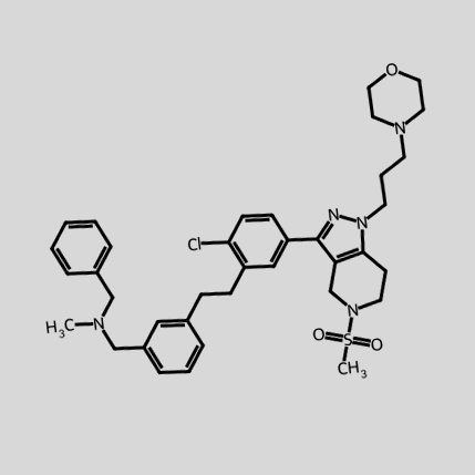 CN(Cc1ccccc1)Cc1cccc(CCc2cc(-c3nn(CCCN4CCOCC4)c4c3CN(S(C)(=O)=O)CC4)ccc2Cl)c1